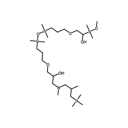 CO[Si](C)(C)C(O)COCCC[Si](C)(C)O[Si](C)(C)CCCOCC(O)CN(C)CC(C)C[Si](C)(C)C